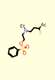 CCN(CCOS(=O)(=O)c1ccccc1)CCC(F)C(C)=O